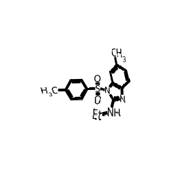 CCNc1nc2ccc(C)cc2n1S(=O)(=O)c1ccc(C)cc1